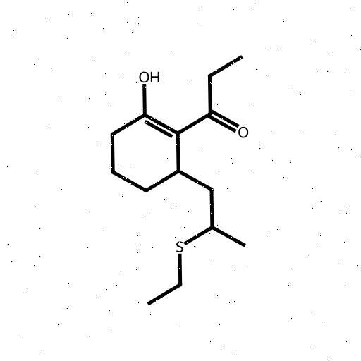 CCSC(C)CC1CCCC(O)=C1C(=O)CC